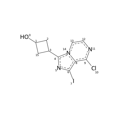 OC1CC(c2nc(I)c3c(Cl)nccn23)C1